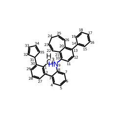 Cc1c(-c2ccccc2Nc2ccc(-c3ccccc3)c3c2C=CCC=C3)cccc1C1C=CC=C1